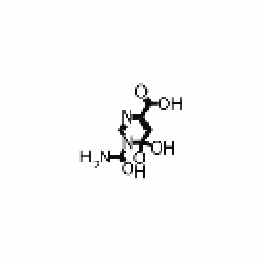 NC(=O)N1C=NC(C(=O)O)=CC1(O)O